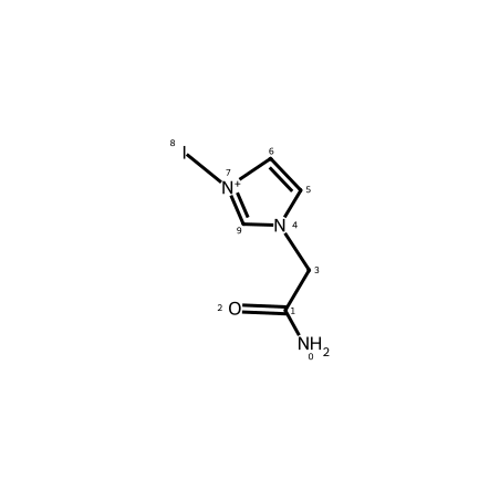 NC(=O)Cn1cc[n+](I)c1